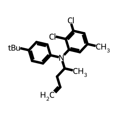 C=CCC(C)N(c1ccc(C(C)(C)C)cc1)c1cc(C)cc(Cl)c1Cl